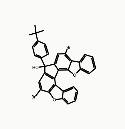 CC(C)(C)c1ccc(C2(O)c3cc(Br)c4c(oc5ccccc54)c3-c3c2cc(Br)c2oc4ccccc4c32)cc1